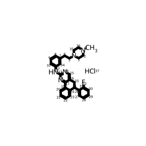 CN1CCN(CCc2cccc(Nc3ncc4c(n3)-c3ccccc3C(c3ccccc3F)C4)c2)CC1.Cl